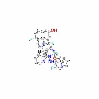 C#Cc1c(F)ccc2cc(O)cc(-c3ncc4c(c3F)=N[C@](F)(OC[C@@]35CCCN3C[C@H](F)C5)N(N)C=4C3[C@@H]4CCCN3CC4)c12